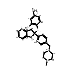 CN1CCN(Cc2ccc(C3(Oc4ccc(N)cc4F)Cc4ncccc4S3)nc2)CC1